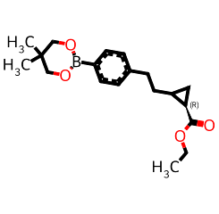 CCOC(=O)[C@@H]1CC1CCc1ccc(B2OCC(C)(C)CO2)cc1